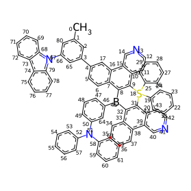 Cc1cc(-c2ccc3c4c(c5ccncc5c3c2)S(c2ccccc2)(c2ccccc2)c2c(c3ccccc3c3cnccc23)B4c2cccc(N(c3ccccc3)c3ccccc3)c2)cc(-n2c3ccccc3c3ccccc32)c1